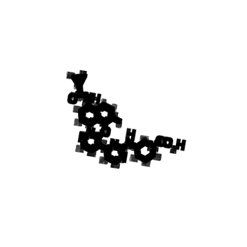 Cc1ccc2c(NC(=O)C3CC3)cccc2c1Oc1nnccc1-c1ccnc(NC2CCCN(C(=O)O)C2)n1